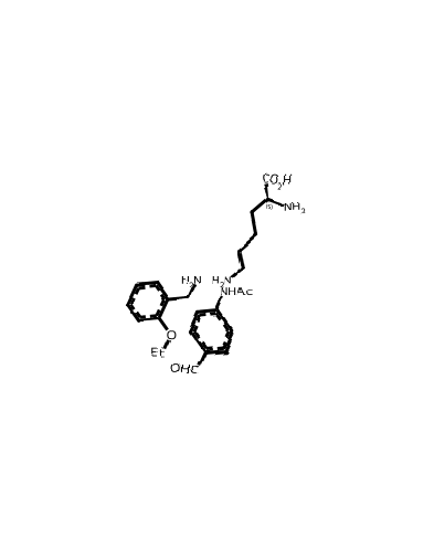 CC(=O)Nc1ccc(C=O)cc1.CCOc1ccccc1CN.NCCCC[C@H](N)C(=O)O